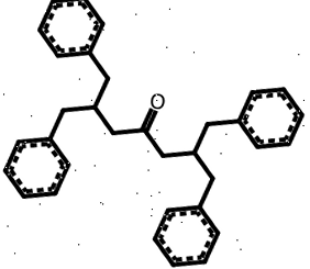 O=C(CC(Cc1ccccc1)Cc1ccccc1)CC(Cc1ccccc1)Cc1ccccc1